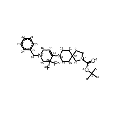 CC(C)(C)OC(=O)N1CCC2(CCN(C3=CCN(Cc4ccccc4)CC3(F)F)CC2)C1